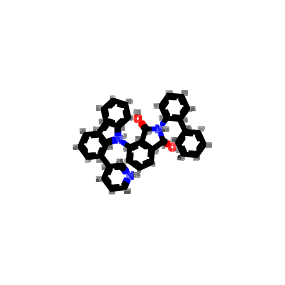 O=C1c2cccc(-n3c4ccccc4c4cccc(-c5cccnc5)c43)c2C(=O)N1c1ccccc1-c1ccccc1